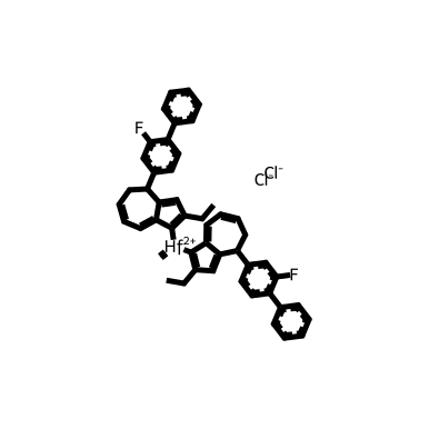 [CH2]=[Hf+2]([C]1=C(CC)C=C2C1=CC=CCC2c1ccc(-c2ccccc2)c(F)c1)[C]1=C(CC)C=C2C1=CC=CCC2c1ccc(-c2ccccc2)c(F)c1.[Cl-].[Cl-]